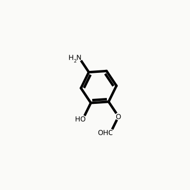 Nc1ccc(OC=O)c(O)c1